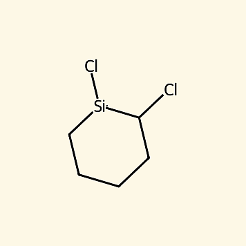 ClC1CCCC[Si]1Cl